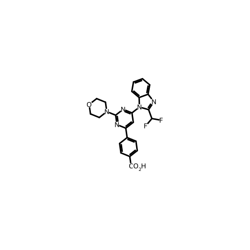 O=C(O)c1ccc(-c2cc(-n3c(C(F)F)nc4ccccc43)nc(N3CCOCC3)n2)cc1